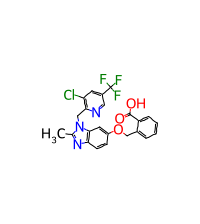 Cc1nc2ccc(OCc3ccccc3C(=O)O)cc2n1Cc1ncc(C(F)(F)F)cc1Cl